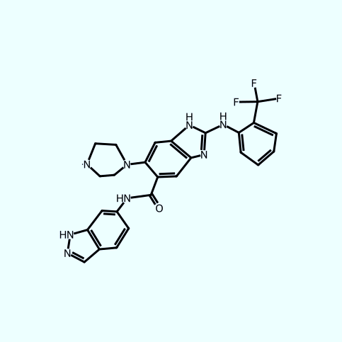 O=C(Nc1ccc2cn[nH]c2c1)c1cc2nc(Nc3ccccc3C(F)(F)F)[nH]c2cc1N1CC[N]CC1